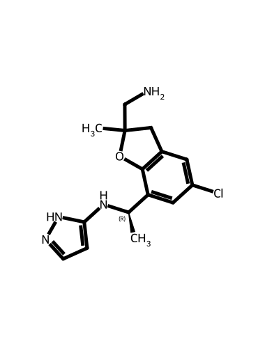 C[C@@H](Nc1ccn[nH]1)c1cc(Cl)cc2c1OC(C)(CN)C2